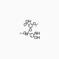 CCCO/N=C(\COc1cc(OC(C)C)cc(C(=O)O)c1)c1ccc(O)c(NC)c1